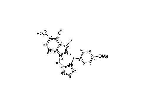 COc1ccc(Cn2ccnc2Cn2nc(C)c3c(Cl)c(C(=O)O)cnc32)cc1